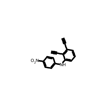 C#Cc1cccc(Nc2ccc([N+](=O)[O-])cc2)c1C#C